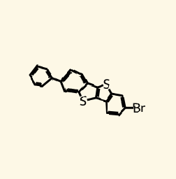 Brc1ccc2c(c1)sc1c3ccc(-c4ccccc4)cc3sc21